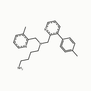 CC1=C=C=C(c2cccnc2CN(CCCCN)Cc2ncccc2C)C=C1